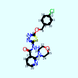 O=C(Nc1nnc(OCc2ccc(Cl)cc2)s1)c1cccnc1N1CCOCC1